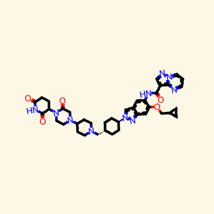 O=C1CCC(N2CCN(C3CCN(C[C@H]4CC[C@H](n5cc6cc(NC(=O)c7cnn8cccnc78)c(OCC7CC7)cc6n5)CC4)CC3)CC2=O)C(=O)N1